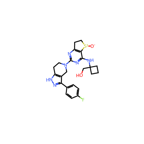 [O-][S@+]1CCc2nc(N3CCc4[nH]nc(-c5ccc(F)cc5)c4C3)nc(NC3(CO)CCC3)c21